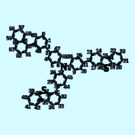 c1cc(-c2ccc(N(c3ccc(-c4ccc5c(c4)sc4ccccc45)cc3)c3ccc(-c4cccc5c4sc4ccccc45)cc3)cc2)cc(-c2cccc3ccccc23)c1